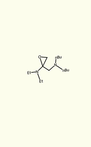 CCCCN(CCCC)CC1(N(CC)CC)CO1